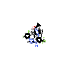 [2H]C1([2H])N(C(=O)C2CC2)C([2H])([2H])C([2H])([2H])N(c2cc(Nc3ncn(-c4cc(F)cc(F)c4)n3)cc(C(F)(F)F)c2)C1([2H])[2H]